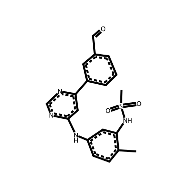 Cc1ccc(Nc2cc(-c3cccc(C=O)c3)ncn2)cc1NS(C)(=O)=O